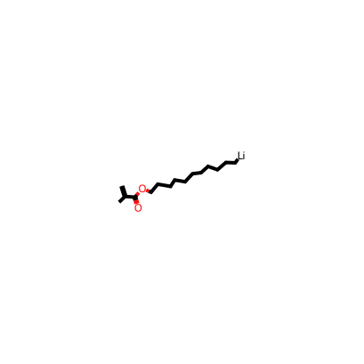 [Li][CH2]CCCCCCCCCCOC(=O)C(=C)C